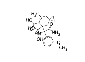 COc1cccc(C(NO)(C(N)=O)C2(C(=O)O)CC3(CC3)CN(C)C2C(=O)O)c1